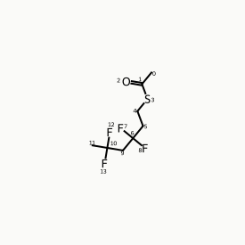 CC(=O)SCCC(F)(F)CC(C)(F)F